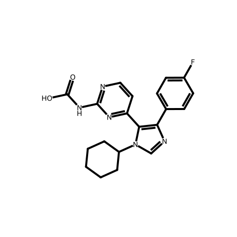 O=C(O)Nc1nccc(-c2c(-c3ccc(F)cc3)ncn2C2CCCCC2)n1